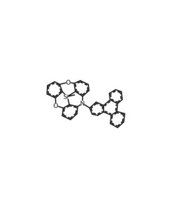 C[Si]12c3c4cccc3Oc3cccc(c31)N(c1ccc3c5ccccc5c5ccccc5c3c1)c1cccc(c12)O4